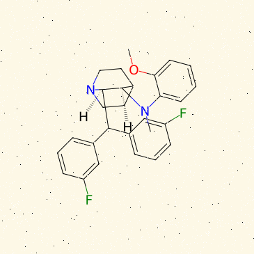 COc1ccccc1N(C)[C@@H]1C2CCN(CC2)[C@@H]1C(c1cccc(F)c1)c1cccc(F)c1